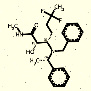 CNC(=O)[C@@H](O)[C@H](CCC(C)(F)F)N(Cc1ccccc1)[C@@H](C)c1ccccc1